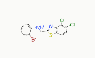 Clc1ccc2sc(CNc3ccccc3Br)nc2c1Cl